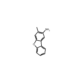 Cc1cc2oc3ccccc3c2cc1N